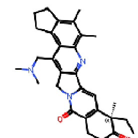 CC[C@@]1(C)C(=O)CCc2c1cc1n(c2=O)Cc2c-1nc1c(C)c(C)c3c(c1c2CN(C)C)CCC3